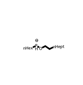 CCCCCCCCCO[PH](=O)CCCCCC